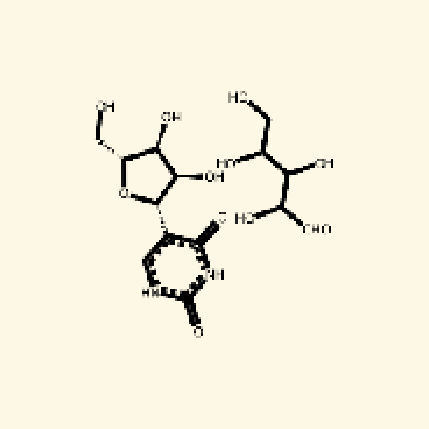 O=CC(O)C(O)C(O)CO.O=c1[nH]cc([C@@H]2O[C@H](CO)[C@@H](O)[C@H]2O)c(=O)[nH]1